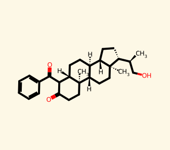 C[C@@H](CO)[C@H]1CC[C@H]2[C@@H]3CC[C@H]4C(C(=O)c5ccccc5)C(=O)CC[C@]4(C)[C@H]3CC[C@]12C